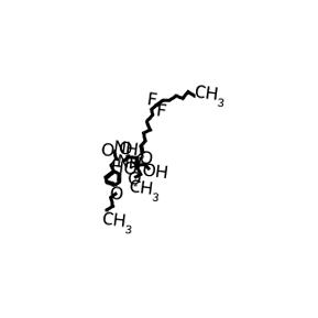 CCCCCCCC(F)(F)CCCCCCC=C[C@H](C(=O)N[C@@H](Cc1ccc(OCCCC)cc1)C(N)=O)[C@@](O)(COC)C(=O)O